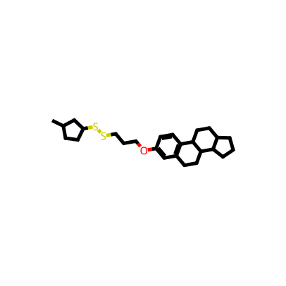 CC1CCC(SSCCCOc2ccc3c(c2)CCC2C3CCC3CCCC32)C1